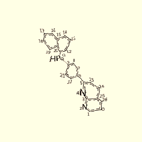 c1cnc2nc(-c3ccc(Pc4cccc5ccccc45)cc3)ccc2c1